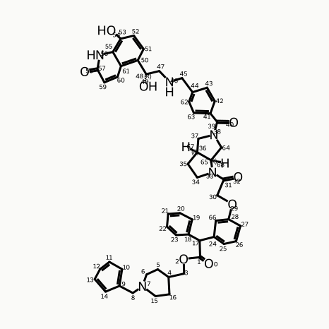 O=C(OCC1CCN(Cc2ccccc2)CC1)C(c1ccccc1)c1cccc(OCC(=O)N2CC[C@@H]3CN(C(=O)c4ccc(CNC[C@H](O)c5ccc(O)c6[nH]c(=O)ccc56)cc4)C[C@@H]32)c1